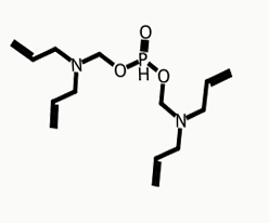 C=CCN(CC=C)CO[PH](=O)OCN(CC=C)CC=C